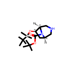 CC(C)(C)OC(=O)N1[C@H]2CNC[C@@H]1[C@H](O[Si](C)(C)C(C)(C)C)C2